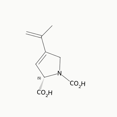 C=C(C)C1=C[C@@H](C(=O)O)N(C(=O)O)C1